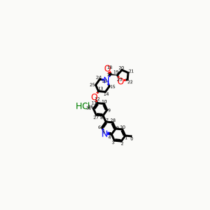 Cc1ccc2ncc(-c3ccc(OC4CCN(C(=O)[C@H]5CCCO5)CC4)cc3)cc2c1.Cl